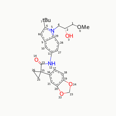 COC[C@H](O)Cn1c(C(C)(C)C)cc2cc(NC(=O)C3(c4ccc5c(c4)OCO5)CC3)ccc21